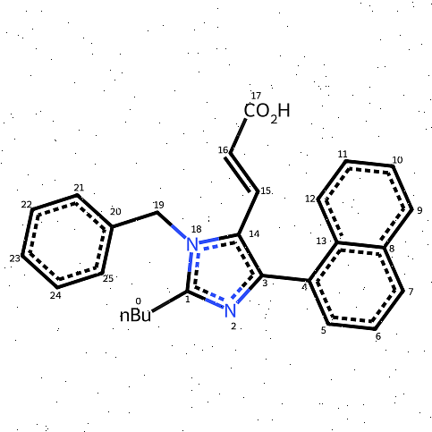 CCCCc1nc(-c2cccc3ccccc23)c(C=CC(=O)O)n1Cc1ccccc1